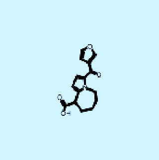 O=C(c1ccoc1)c1ccc2n1CCCCC2C(=O)O